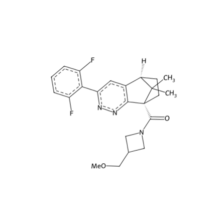 COCC1CN(C(=O)[C@]23CC[C@H](c4cc(-c5c(F)cccc5F)nnc42)C3(C)C)C1